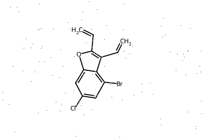 C=Cc1oc2cc(Cl)cc(Br)c2c1C=C